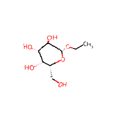 CCO[C@@H]1O[C@H](CO)[C@H](O)[C@H](O)[C@H]1O